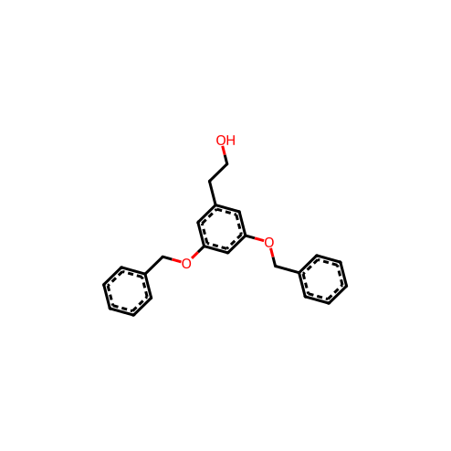 OCCc1cc(OCc2ccccc2)cc(OCc2ccccc2)c1